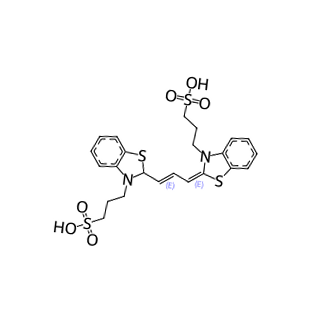 O=S(=O)(O)CCCN1/C(=C\C=C\C2Sc3ccccc3N2CCCS(=O)(=O)O)Sc2ccccc21